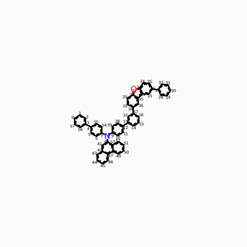 c1ccc(-c2ccc(N(c3ccc(-c4cccc(-c5ccc6oc7ccc(-c8ccccc8)cc7c6c5)c4)cc3)c3cc4ccccc4c4ccccc34)cc2)cc1